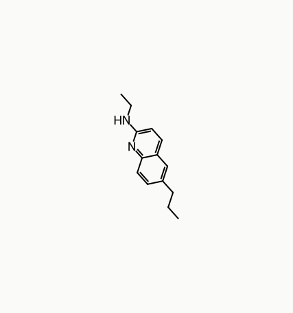 CCCc1ccc2nc(NCC)ccc2c1